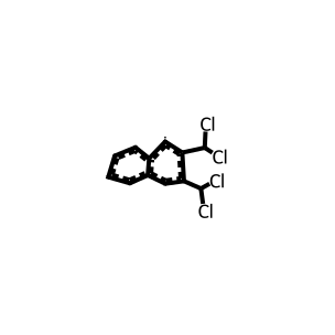 ClC(Cl)c1[c]c2ccccc2cc1C(Cl)Cl